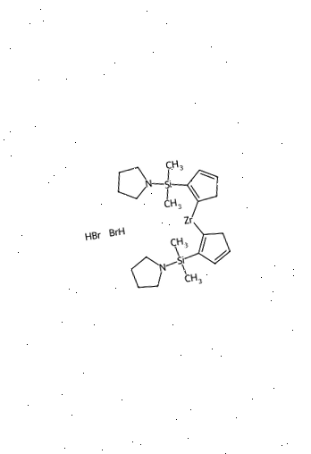 Br.Br.C[Si](C)(C1=[C]([Zr][C]2=C([Si](C)(C)N3CCCC3)C=CC2)CC=C1)N1CCCC1